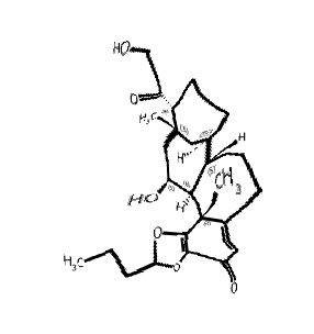 CCCC1OC2=C(O1)[C@@]1(C)C(=CC2=O)CC[C@@H]2[C@@H]1[C@@H](O)C[C@]1(C)[C@H](C(=O)CO)CC[C@@H]21